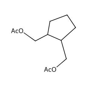 CC(=O)OCC1CCCC1COC(C)=O